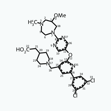 COC1CN(C)CCN(c2ncc(Oc3cc(CN4CCC(CC(=O)O)CC4)cc(-c4cc(Cl)cc(Cl)c4)n3)cn2)C1